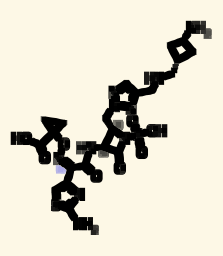 Nc1nc(/C(=N/OC2(C(=O)O)CC2)C(=O)N[C@@H]2C(=O)N(S(=O)(=O)O)[C@@H]2Cn2ncc(CNC[C@H]3C[C@H](N)C3)n2)cs1